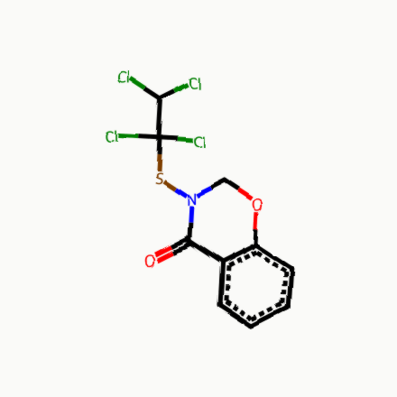 O=C1c2ccccc2OCN1SC(Cl)(Cl)C(Cl)Cl